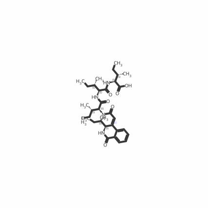 CC[C@H](C)[C@H](NC(=O)[C@@H](NC(=O)[C@@H](NC(=O)/C=C1/c2ccccc2C(=O)N[C@H]1[C@@H](C)CC)[C@@H](C)CC)[C@@H](C)CC)C(=O)O